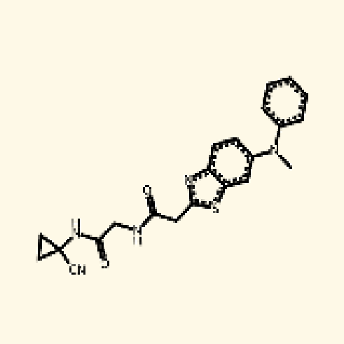 CN(c1ccccc1)c1ccc2nc(CC(=O)NCC(=O)NC3(C#N)CC3)sc2c1